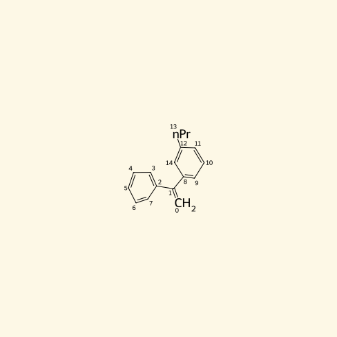 C=C(c1ccccc1)c1cccc(CCC)c1